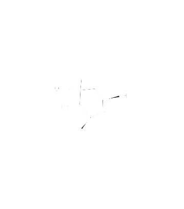 CO[C@]1(C)C[C@@H](O)O[C@@H](C)[C@@H]1O